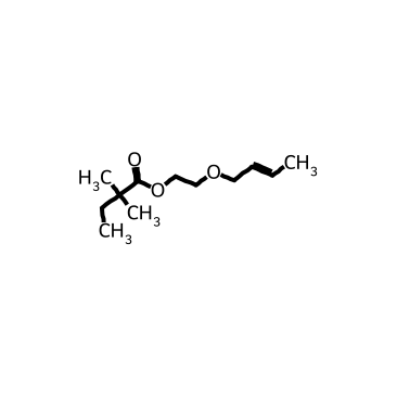 C/C=C/COCCOC(=O)C(C)(C)CC